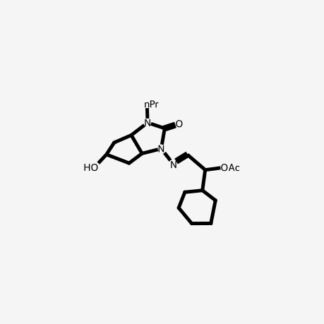 CCCN1C(=O)N(/N=C/C(OC(C)=O)C2CCCCC2)C2CC(O)CC21